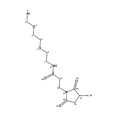 CC(=O)COCCOCCNC(=O)CCN1C(=O)CC(I)C1=O